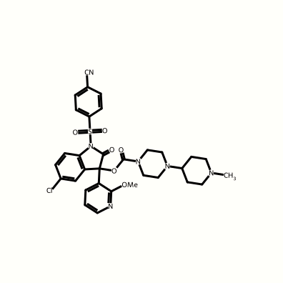 COc1ncccc1C1(OC(=O)N2CCN(C3CCN(C)CC3)CC2)C(=O)N(S(=O)(=O)c2ccc(C#N)cc2)c2ccc(Cl)cc21